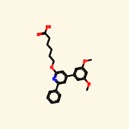 COc1cc(OC)cc(-c2cc(OCCCCCC(=O)O)nc(-c3ccccc3)c2)c1